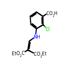 CCOC(=O)C(=CNc1cccc(C(=O)O)c1Cl)C(=O)OCC